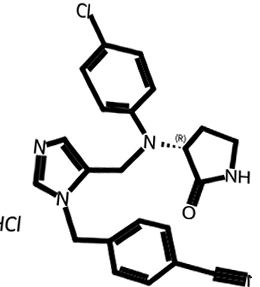 Cl.N#Cc1ccc(Cn2cncc2CN(c2ccc(Cl)cc2)[C@@H]2CCNC2=O)cc1